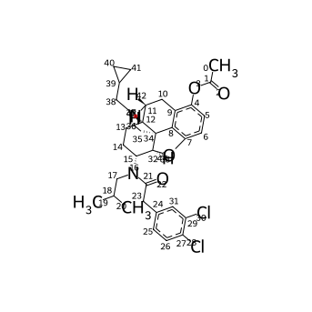 CC(=O)Oc1ccc2c3c1C[C@@H]1[C@@H]4CC[C@@H](N(CC(C)C)C(=O)Cc5ccc(Cl)c(Cl)c5)[C@H](O2)[C@]34CCN1CC1CC1